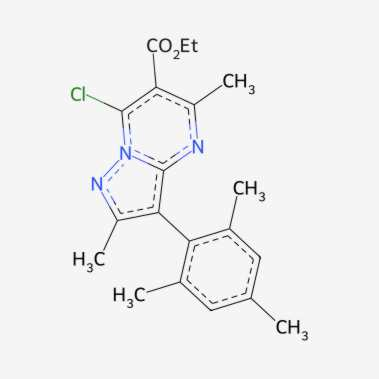 CCOC(=O)c1c(C)nc2c(-c3c(C)cc(C)cc3C)c(C)nn2c1Cl